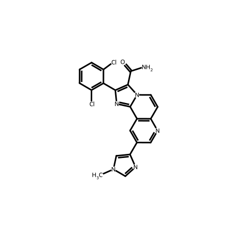 Cn1cnc(-c2cnc3ccn4c(C(N)=O)c(-c5c(Cl)cccc5Cl)nc4c3c2)c1